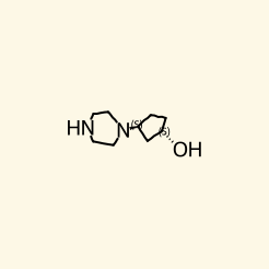 O[C@H]1CC[C@H](N2CCNCC2)C1